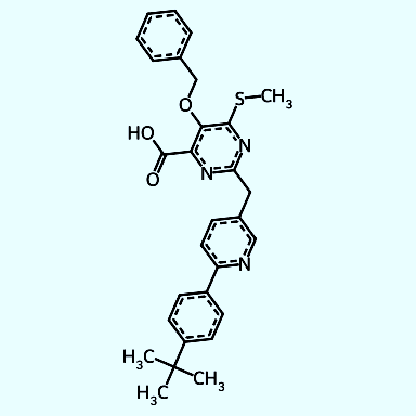 CSc1nc(Cc2ccc(-c3ccc(C(C)(C)C)cc3)nc2)nc(C(=O)O)c1OCc1ccccc1